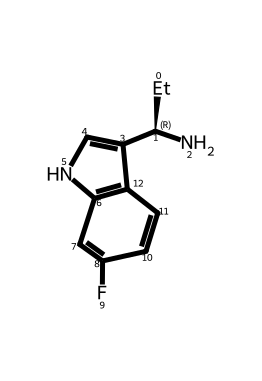 CC[C@@H](N)c1c[nH]c2cc(F)ccc12